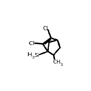 CC1CC2CC1([SiH3])C(Cl)=C2Cl